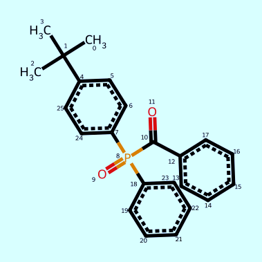 CC(C)(C)c1ccc(P(=O)(C(=O)c2ccccc2)c2ccccc2)cc1